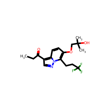 CCC(=O)c1cnn2c(CCC(F)(F)F)c(OCC(C)(C)O)ccc12